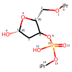 CC(C)OC[C@H]1O[C@@H](O)CC1OP(=O)(O)OC(C)C